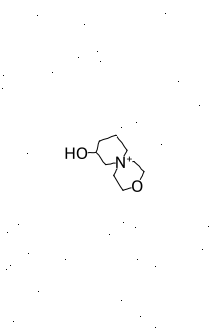 OC1CCC[N+]2(CCOCC2)C1